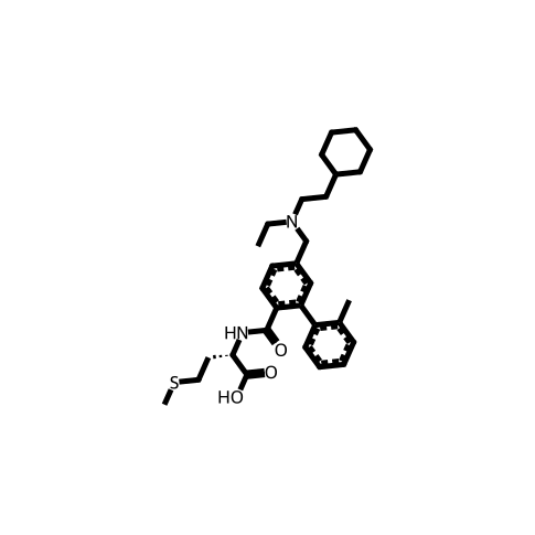 CCN(CCC1CCCCC1)Cc1ccc(C(=O)N[C@@H](CCSC)C(=O)O)c(-c2ccccc2C)c1